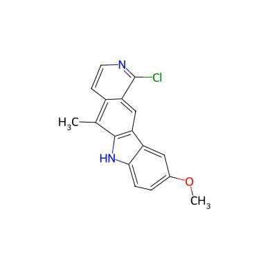 COc1ccc2[nH]c3c(C)c4ccnc(Cl)c4cc3c2c1